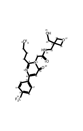 O=C(Cn1c(CCCC(F)(F)F)nc(-c2ccc(C(F)(F)F)cc2)cc1=O)NCC1(CO)COC1